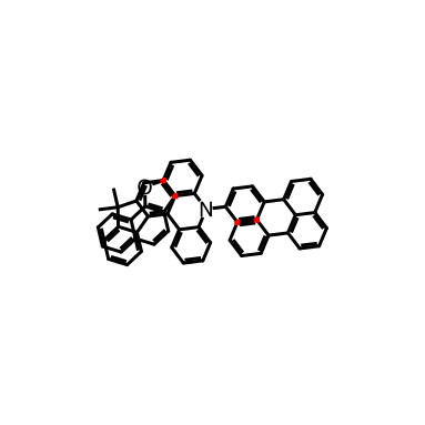 CC1(C)c2ccccc2-c2c(-c3ccccc3N(c3ccc(-c4cccc5cccc(-c6ccccc6)c45)cc3)c3cccc4oc5c6ccccc6ccc5c34)cccc21